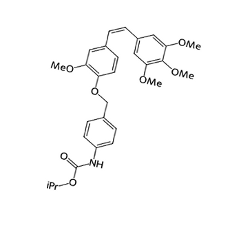 COc1cc(/C=C\c2cc(OC)c(OC)c(OC)c2)ccc1OCc1ccc(NC(=O)OC(C)C)cc1